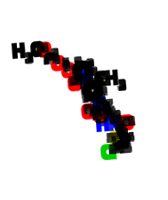 COCCOCOc1cccn(-c2ccc(N3C[C@H](CNC(=O)c4ccc(Cl)s4)OC3=O)cc2C)c1=O